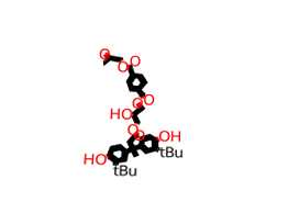 CC(C)(C)c1cc(C(C)(CC(=O)OCC(O)COC(=O)c2ccc(C(=O)OCC3CO3)cc2)c2ccc(O)c(C(C)(C)C)c2)ccc1O